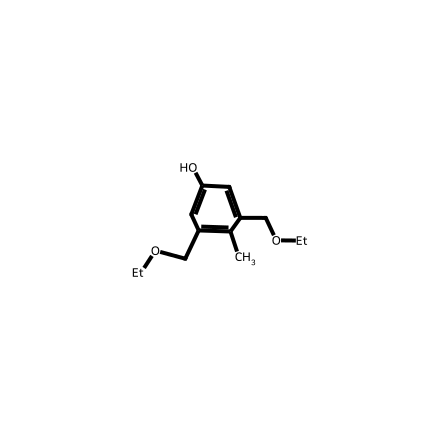 CCOCc1cc(O)cc(COCC)c1C